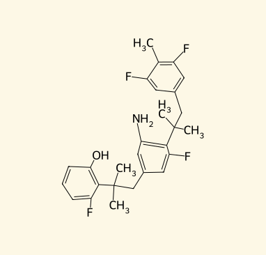 Cc1c(F)cc(CC(C)(C)c2c(N)cc(CC(C)(C)c3c(O)cccc3F)cc2F)cc1F